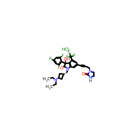 CCN(CC)[C@H]1C[C@H](CN2C(=O)C(O)(c3c(F)cc(F)cc3F)c3c2cc(C#CCN2CCNC2=O)cc3C(F)(F)F)C1.Cl